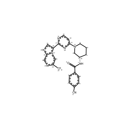 N#Cc1ccc(C(=O)N[C@H]2CCCN(c3ccnc(-c4cnc5cnc(C(F)(F)F)cn45)n3)C2)cc1